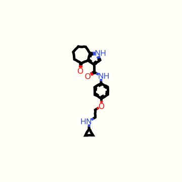 O=C(Nc1ccc(OCCNC2CC2)cc1)c1c[nH]c2c1C(=O)CCCC2